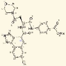 COC(=O)c1ccc(NC(=O)[C@H](CC(=O)N2CCOCC2)NC(=O)/C=C/c2cc(Cl)ccc2-n2cnnn2)cc1